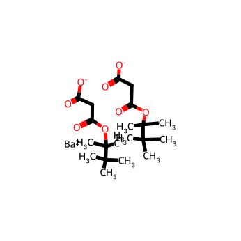 CC(C)(C)C(C)(C)OC(=O)CC(=O)[O-].CC(C)(C)C(C)(C)OC(=O)CC(=O)[O-].[Ba+2]